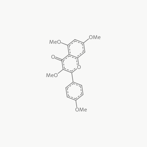 COc1ccc(-c2oc3cc(OC)cc(OC)c3c(=O)c2OC)cc1